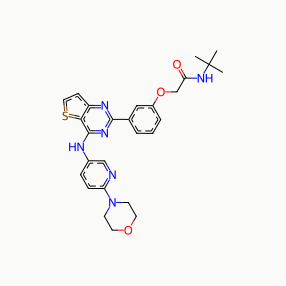 CC(C)(C)NC(=O)COc1cccc(-c2nc(Nc3ccc(N4CCOCC4)nc3)c3sccc3n2)c1